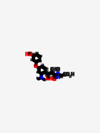 CN(C)c1cc(Oc2cccc(O)c2)ccc1/C(O)=C(\C=O)C(=O)NCC(=O)O